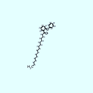 CCCCCCCCCCCCCCCCCC(=O)c1ccccc1Oc1ccccc1